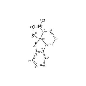 O=[N+]([O-])C1C=CC=C(c2ccccc2)C1(F)Br